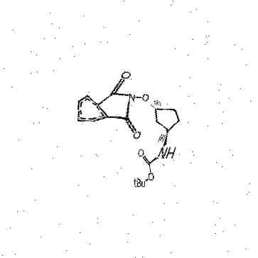 CC(C)(C)OC(=O)N[C@@H]1CC[C@@H](ON2C(=O)c3ccccc3C2=O)C1